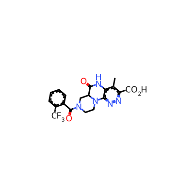 Cc1c(C(=O)O)nnc2c1NC(=O)C1CN(C(=O)c3ccccc3C(F)(F)F)CCN21